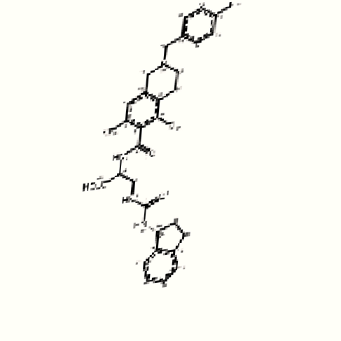 O=C(NCC(NC(=O)c1c(Cl)cc2c(c1Cl)CCN(Cc1ccc(F)cc1)C2)C(=O)O)N[C@@H]1CCc2ccccc21